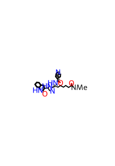 CNC(=O)CCCCC[C@H](NC(=O)C12CCN(CC1)CC2)C1=NCC(c2cc3ccccc3[nH]c2=O)N1